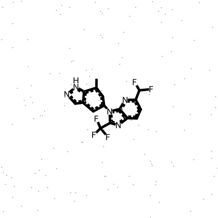 Cc1cc(-n2c(C(F)(F)F)nc3ccc(C(F)F)nc32)cc2cn[nH]c12